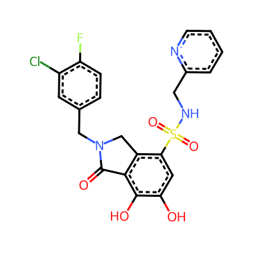 O=C1c2c(O)c(O)cc(S(=O)(=O)NCc3ccccn3)c2CN1Cc1ccc(F)c(Cl)c1